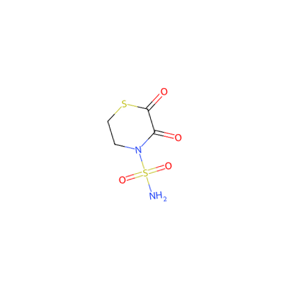 NS(=O)(=O)N1CCSC(=O)C1=O